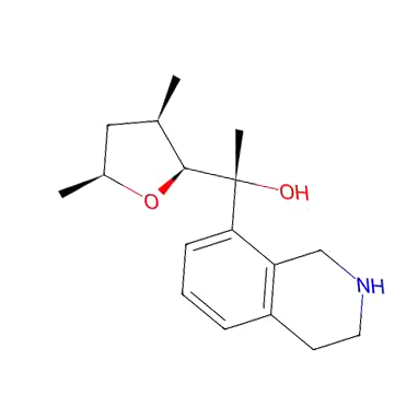 C[C@@H]1C[C@H](C)O[C@@H]1[C@](C)(O)c1cccc2c1CNCC2